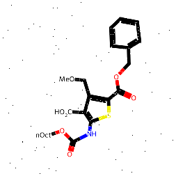 CCCCCCCCOC(=O)Nc1sc(C(=O)OCc2ccccc2)c(COC)c1C(=O)O